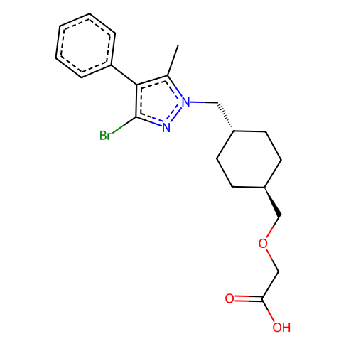 Cc1c(-c2ccccc2)c(Br)nn1C[C@H]1CC[C@H](COCC(=O)O)CC1